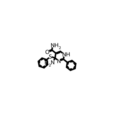 NC(=O)C1=CNC(c2ccccc2)=NC1(N)Sc1ccccc1